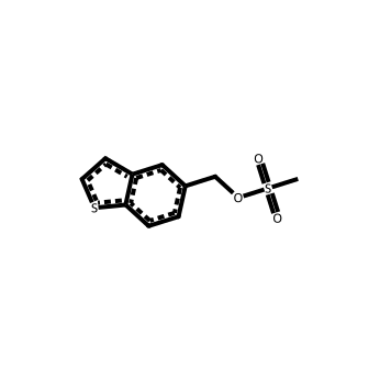 CS(=O)(=O)OCc1ccc2sccc2c1